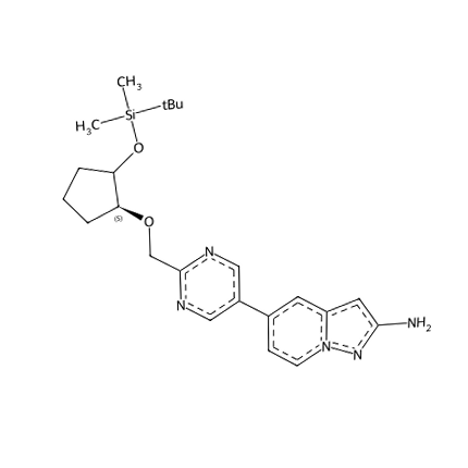 CC(C)(C)[Si](C)(C)OC1CCC[C@@H]1OCc1ncc(-c2ccn3nc(N)cc3c2)cn1